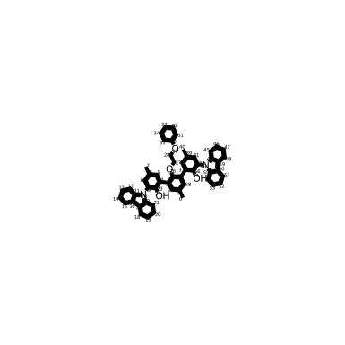 Cc1cc(-c2cc(C)cc(-n3c4ccccc4c4ccccc43)c2O)c(OCCOc2ccccc2)c(-c2cc(C)cc(-n3c4ccccc4c4ccccc43)c2O)c1